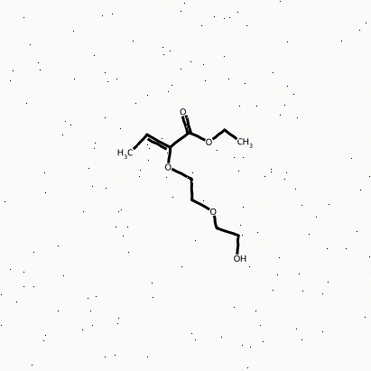 CC=C(OCCOCCO)C(=O)OCC